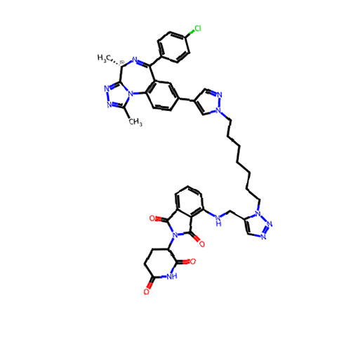 Cc1nnc2n1-c1ccc(-c3cnn(CCCCCCCn4nncc4CNc4cccc5c4C(=O)N(C4CCC(=O)NC4=O)C5=O)c3)cc1C(c1ccc(Cl)cc1)=N[C@H]2C